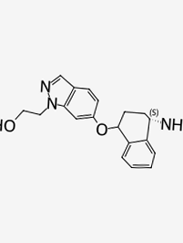 N[C@H]1CCC(Oc2ccc3cnn(CCO)c3c2)c2ccccc21